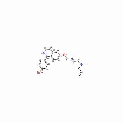 C=CCN(C)C/C=C/COc1ccc2c(-c3ccc(Br)cc3)nccc2c1